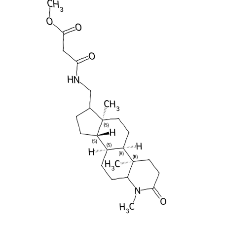 COC(=O)CC(=O)NCC1CC[C@H]2[C@@H]3CCC4N(C)C(=O)CC[C@]4(C)[C@@H]3CC[C@]12C